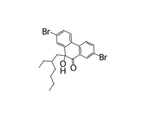 CCCCC(CC)CC1(O)C(=O)c2cc(Br)ccc2-c2ccc(Br)cc21